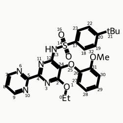 CCOc1nc(-c2ncccn2)nc(NS(=O)(=O)c2ccc(C(C)(C)C)cc2)c1Oc1ccccc1OC